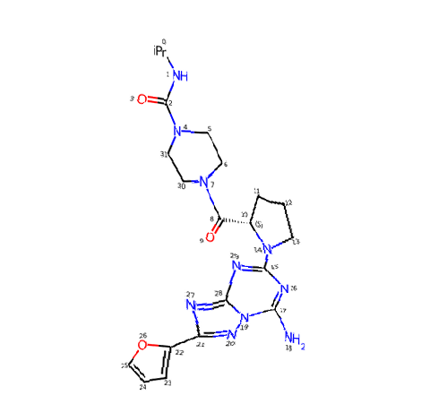 CC(C)NC(=O)N1CCN(C(=O)[C@@H]2CCCN2c2nc(N)n3nc(-c4ccco4)nc3n2)CC1